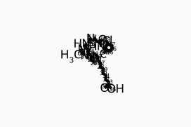 Cc1nc(Nc2ncc(C(=O)Nc3c(C)cccc3Cl)s2)cc(N2CCN(CCCCCCCC(=O)O)CC2)n1